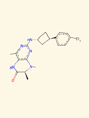 Cc1nc(N[C@H]2C[C@H](c3ccc(C(F)(F)F)cc3)C2)nc2c1NC(=O)[C@H](C)N2C